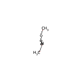 CCCCCCCCc1ccc(-c2ccc(CCC3CCC(CCCCCCC)CC3)cc2)nc1